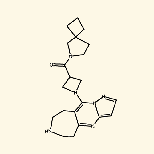 O=C(C1CN(c2c3c(nc4ccnn24)CCNCC3)C1)N1CCC2(CCC2)C1